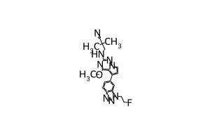 COc1nc(NCC(C)(C)C#N)nn2ccc(-c3ccc4nnn(CCF)c4c3)c12